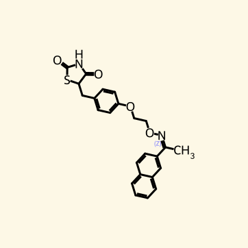 C/C(=N/OCCOc1ccc(CC2SC(=O)NC2=O)cc1)c1ccc2ccccc2c1